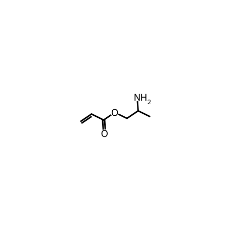 C=CC(=O)OCC(C)N